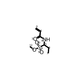 C=CC(=O)NC(CC)S(=O)(=O)OC